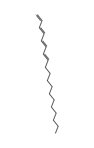 [CH]=CC=CC=CC=CCCCCCCCCCCC